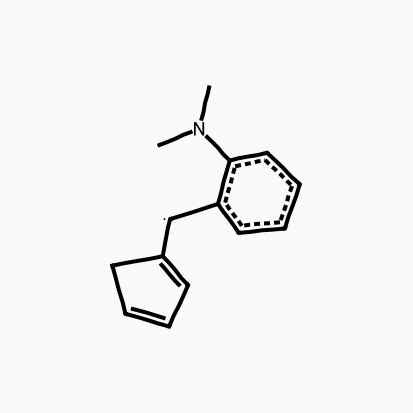 CN(C)c1ccccc1[CH]C1=CC=CC1